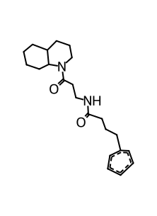 O=C(CCCc1ccccc1)NCCC(=O)N1CCCC2CCCCC21